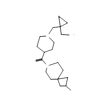 COCC1(CN2CCC(C(=O)N3CCC4(CC3)CC(C)C4)CC2)CC1